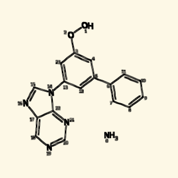 N.OOc1cc(-c2ccccc2)cc(-n2cnc3cncnc32)c1